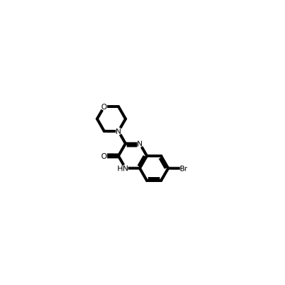 O=c1[nH]c2ccc(Br)cc2nc1N1CCOCC1